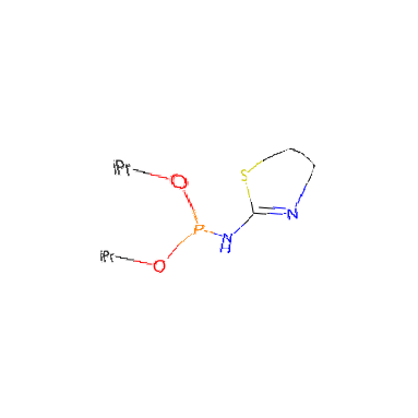 CC(C)OP(NC1=NCCS1)OC(C)C